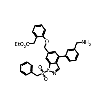 CCOC(=O)Cc1ccccc1OCc1cc(-c2cccc(CN)c2)c2cnn(S(=O)(=O)Cc3ccccc3)c2c1